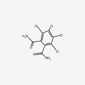 NC(=O)c1c(Cl)c(Cl)c(Cl)c(Cl)c1C(N)=O